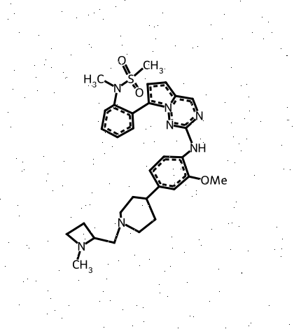 COc1cc(C2CCN(CC3CCN3C)CC2)ccc1Nc1ncc2ccc(-c3ccccc3N(C)S(C)(=O)=O)n2n1